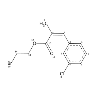 C/C(=C/c1cccc(Cl)c1)C(=O)OCCBr